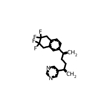 C=C(CCC(=C)c1ccc2c(c1)CC(F)(F)C(F)(F)C2)c1cncnc1